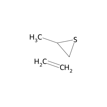 C=C.CC1CS1